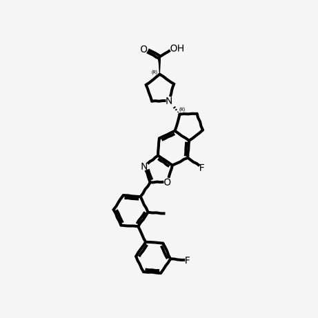 Cc1c(-c2cccc(F)c2)cccc1-c1nc2cc3c(c(F)c2o1)CC[C@H]3N1CC[C@@H](C(=O)O)C1